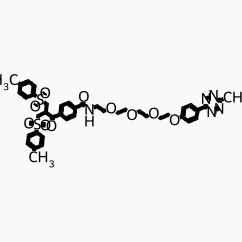 Cc1ccc(S(=O)(=O)CC(CS(=O)(=O)c2ccc(C)cc2)C(=O)c2ccc(C(=O)NCCOCCOCCOCCOc3ccc(-c4nnc(C)nn4)cc3)cc2)cc1